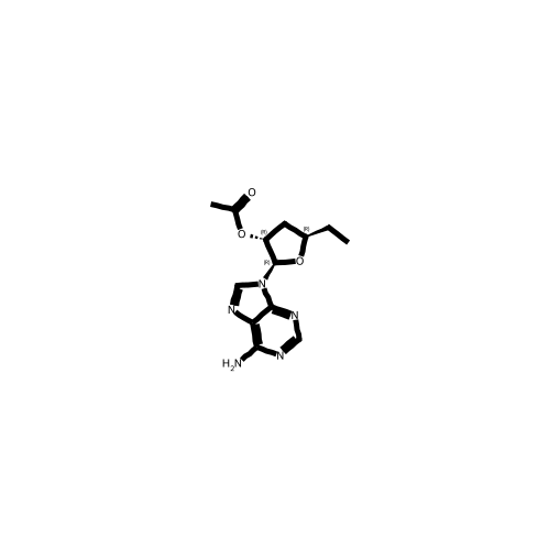 CC[C@@H]1C[C@@H](OC(C)=O)[C@H](n2cnc3c(N)ncnc32)O1